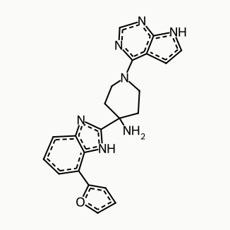 NC1(c2nc3cccc(-c4ccco4)c3[nH]2)CCN(c2ncnc3[nH]ccc23)CC1